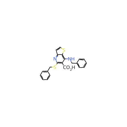 O=C(O)c1c(SCc2ccccc2)nc2ccsc2c1NCc1ccccc1